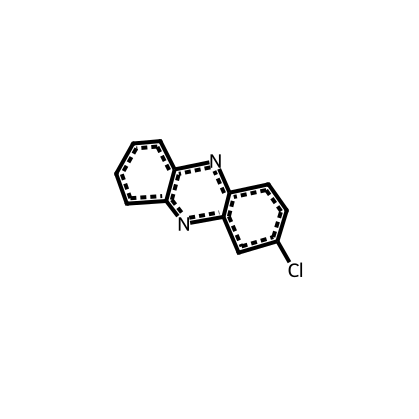 Clc1ccc2nc3ccccc3nc2c1